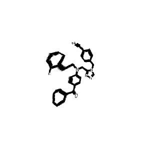 N#Cc1ccc(Cn2cnnc2CN(CCc2ccccc2F)c2ccc(C(=O)c3ccccc3)cc2)cc1